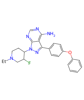 CCN1CCC(n2nc(-c3ccc(Oc4ccccc4)cc3)c3c(N)ncnc32)C(F)C1